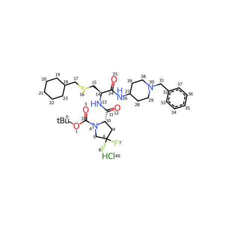 CC(C)(C)OC(=O)N1CC(F)(F)C[C@H]1C(=O)N[C@@H](CSCC1CCCCC1)C(=O)NC1CCN(Cc2ccccc2)CC1.Cl